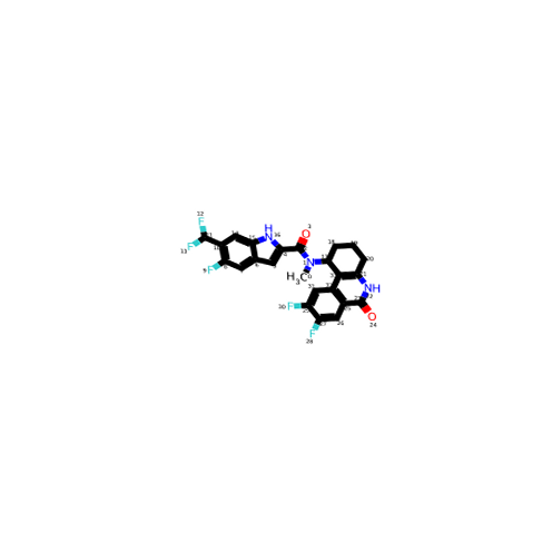 CN(C(=O)c1cc2cc(F)c(C(F)F)cc2[nH]1)C1CCCc2[nH]c(=O)c3cc(F)c(F)cc3c21